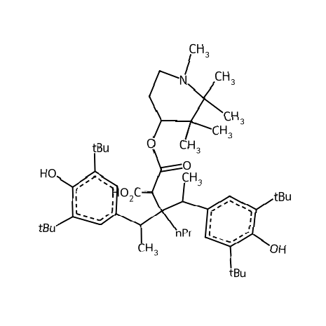 CCCC(C(C(=O)O)C(=O)OC1CCN(C)C(C)(C)C1(C)C)(C(C)c1cc(C(C)(C)C)c(O)c(C(C)(C)C)c1)C(C)c1cc(C(C)(C)C)c(O)c(C(C)(C)C)c1